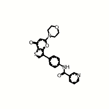 O=C(Nc1ccc(-c2csc3c(=O)cc(N4CCOCC4)oc23)cc1)c1cccnc1